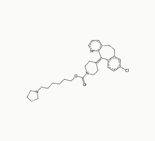 O=C(OCCCCCCN1CCCC1)N1CCC(=C2c3ccc(Cl)cc3CCc3cccnc32)CC1